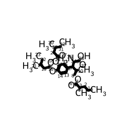 CCCC(C)C(=O)OCC(C)C(c1ccc(OC(=O)CC(C)CC)c(OC(=O)CC(C)CC)c1)[C@H](N)C(=O)O